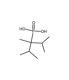 CC(C)C(C)(C(C)C)P(=O)(O)O